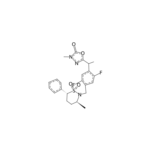 CC(c1nn(C)c(=O)o1)c1cc(F)c(CN2[C@@H](C)CC[C@H](c3ccccc3)S2(=O)=O)cc1F